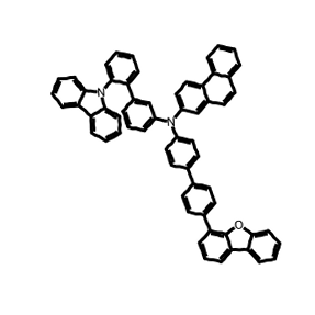 c1cc(-c2ccccc2-n2c3ccccc3c3ccccc32)cc(N(c2ccc(-c3ccc(-c4cccc5c4oc4ccccc45)cc3)cc2)c2ccc3c(ccc4ccccc43)c2)c1